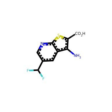 Nc1c(C(=O)O)sc2ncc(C(F)F)cc12